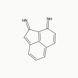 N=C1[C]=c2cccc3c2=C1C(=N)C=C3